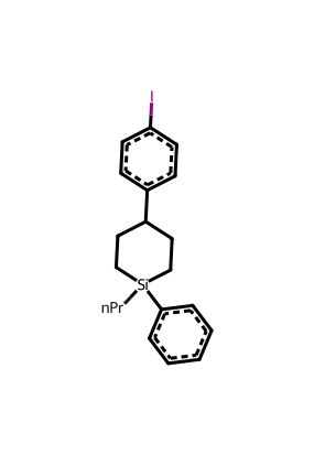 CCC[Si]1(c2ccccc2)CCC(c2ccc(I)cc2)CC1